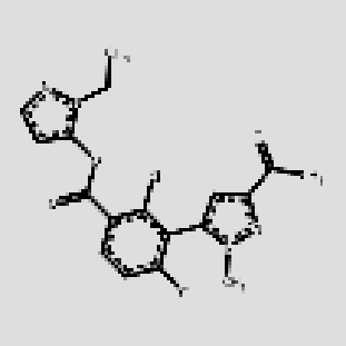 CCn1nccc1OC(=O)c1ccc(Cl)c(-c2cc(C(C)=O)nn2C)c1Cl